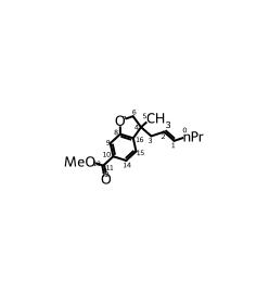 CCCC=CCC1(C)COc2cc(C(=O)OC)ccc21